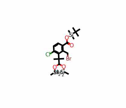 C[SiH2]OC(O[SiH2]C)C(C)(C)c1c(Cl)ccc(C(=O)O[Si](C)(C)C(C)(C)C)c1CBr